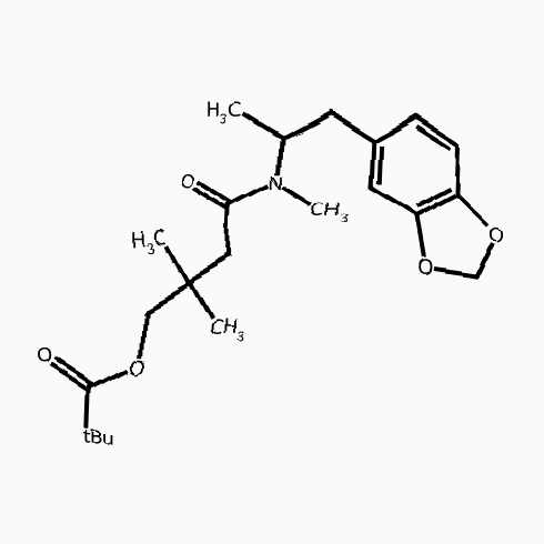 CC(Cc1ccc2c(c1)OCO2)N(C)C(=O)CC(C)(C)COC(=O)C(C)(C)C